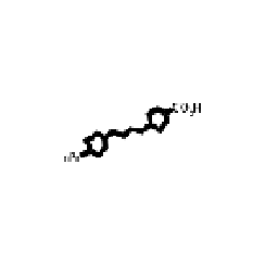 CCCC1CCC(CCCCC2CCC(C(=O)O)CC2)CC1